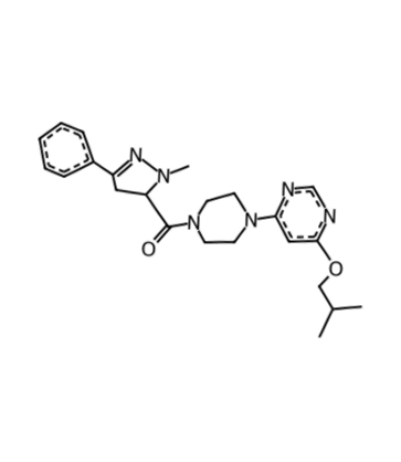 CC(C)COc1cc(N2CCN(C(=O)C3CC(c4ccccc4)=NN3C)CC2)ncn1